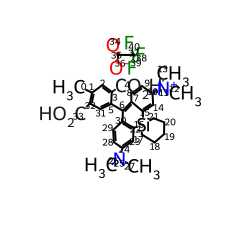 Cc1cc(C(=O)O)c(C2=C3C=CC(=[N+](C)C)C=C3[Si]3(CCCCC3)c3cc(N(C)C)ccc32)cc1C(=O)O.O=C([O-])C(F)(F)F